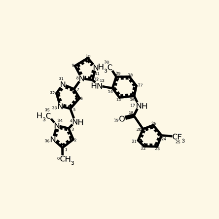 Cc1cc(Nc2cc(-n3ccnc3Nc3cc(NC(=O)c4cccc(C(F)(F)F)c4)ccc3C)ncn2)n(C)n1